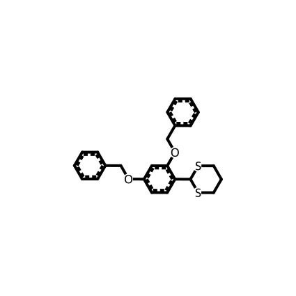 c1ccc(COc2ccc(C3SCCCS3)c(OCc3ccccc3)c2)cc1